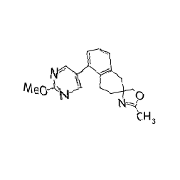 COc1ncc(-c2cccc3c2CCC2(COC(C)=N2)C3)cn1